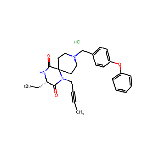 CC#CCN1C(=O)[C@H](CC(C)(C)C)NC(=O)C12CCN(Cc1ccc(Oc3ccccc3)cc1)CC2.Cl